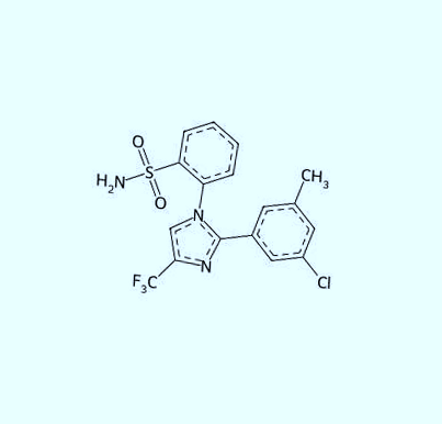 Cc1cc(Cl)cc(-c2nc(C(F)(F)F)cn2-c2ccccc2S(N)(=O)=O)c1